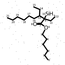 CCCCCCOC(=O)C([SiH3])(CC)C(CC)CCCCCC